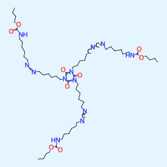 CCCCOC(=O)NCCCCCCN=C=NCCCCCCn1c(=O)n(CCCCCCN=C=NCCCCCCNC(=O)OCCCC)c(=O)n(CCCCCCN=C=NCCCCCCNC(=O)OCCCC)c1=O